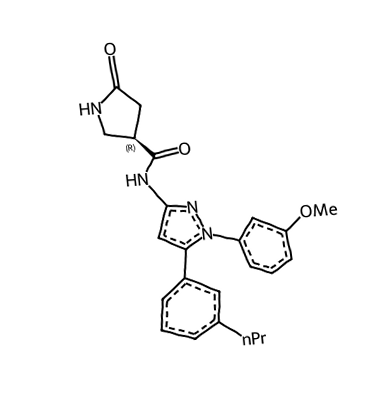 CCCc1cccc(-c2cc(NC(=O)[C@H]3CNC(=O)C3)nn2-c2cccc(OC)c2)c1